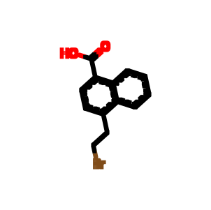 O=C(O)c1ccc(CCBr)c2ccccc12